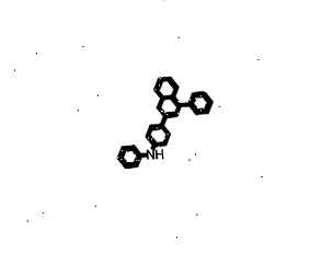 C1=CC2=C(c3ccccc3)C=C(C3=CC=C(Nc4ccccc4)CC3)CC2C=C1